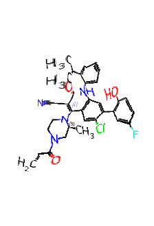 C=CC(=O)N1CCN(/C(=C(\C#N)C=O)c2cc(Cl)c(-c3cc(F)ccc3O)cc2Nc2ccccc2C(C)C)[C@@H](C)C1